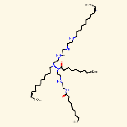 CCCCCCCC/C=C\CCCCCCCCNCCNCCNCCN(CCCCCCCC/C=C\CCCCCCCC)N(CCNCCNC(=O)CCCCCCCCCCCCCCCCC)C(=O)CCCCCCCCCCCCCCCCC